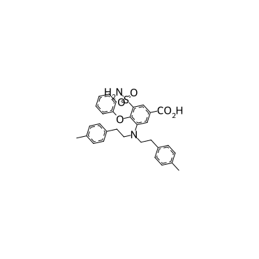 Cc1ccc(CCN(CCc2ccc(C)cc2)c2cc(C(=O)O)cc(S(N)(=O)=O)c2Oc2ccccc2)cc1